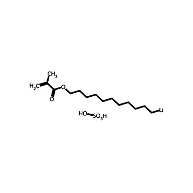 O=S(=O)(O)O.[Li][CH2]CCCCCCCCCCOC(=O)C(=C)C